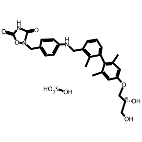 Cc1cc(OC[C@H](O)CO)cc(C)c1-c1cccc(CNc2ccc(Cn3oc(=O)[nH]c3=O)cc2)c1C.O=S(=O)(O)O